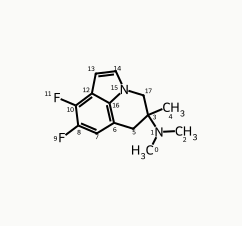 CN(C)C1(C)Cc2cc(F)c(F)c3ccn(c23)C1